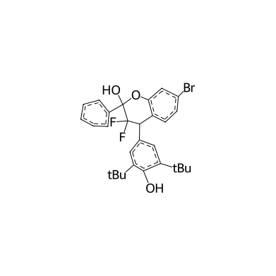 CC(C)(C)c1cc(C2c3ccc(Br)cc3OC(O)(c3ccccc3)C2(F)F)cc(C(C)(C)C)c1O